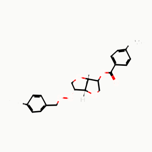 COc1ccc(C(=O)OC2CO[C@H]3[C@@H]2OC[C@H]3OOCc2ccc(C=O)cc2)cc1